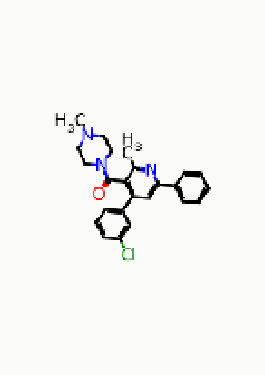 Cc1nc(-c2ccccc2)cc(-c2cccc(Cl)c2)c1C(=O)N1CCN(C)CC1